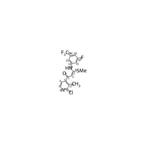 CS/C(=C/C(=O)c1ccnc(Cl)c1C)Nc1cc(F)cc(C(F)(F)F)c1